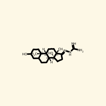 C[C@]12CCC(O)CC1CC[C@@H]1[C@H]2CC[C@]2(C)C(=NNC(=N)N)CC[C@@]12O